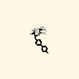 CC(C)(C)[Si](C)(C)OC(Cc1ccc(-c2ccc(F)cc2)cc1)C(=O)O